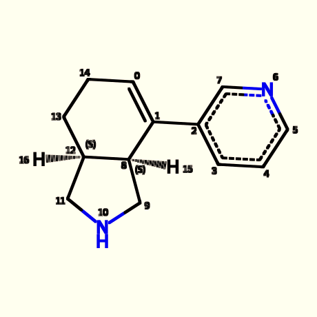 C1=C(c2cccnc2)[C@H]2CNC[C@H]2CC1